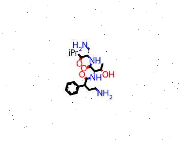 CC(C)C(=O)[C@H](CN)NC(=O)[C@@H](NC(=O)C(CCN)c1ccccc1)C(C)O